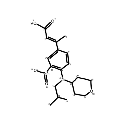 CC(=CC(=O)O)c1ccc(N(CC(C)C)C2CCOCC2)c([N+](=O)[O-])c1